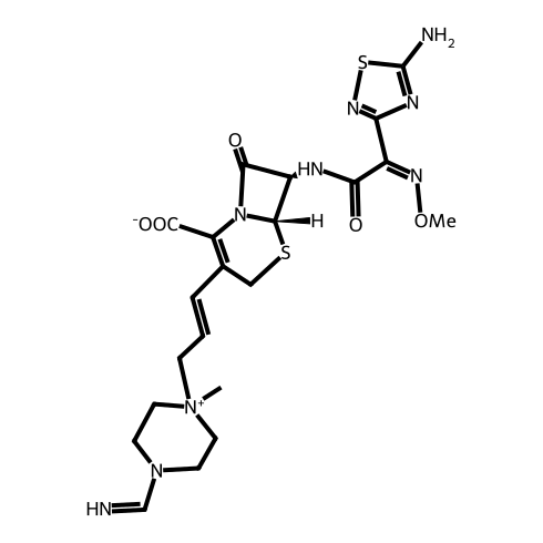 CO/N=C(\C(=O)N[C@@H]1C(=O)N2C(C(=O)[O-])=C(/C=C/C[N+]3(C)CCN(C=N)CC3)CS[C@@H]12)c1nsc(N)n1